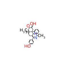 Cc1nc(-c2ccc(O)cc2)c2c(n1)[C@@]1(c3ccccc3)C/C(=C/O)C(=O)[C@@H](C)[C@@H]1CC2